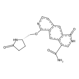 NC(=O)c1c[nH]c(=O)c2cc3ccnc(OC[C@@H]4CCC(=O)N4)c3cc12